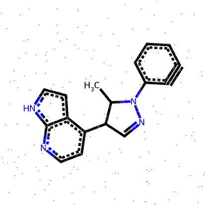 CC1C(c2ccnc3[nH]ccc23)C=NN1c1c#cccc1